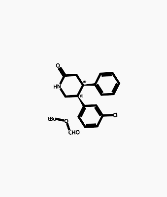 CC(C)(C)OC=O.O=C1C[C@@H](c2ccccc2)[C@@H](c2cccc(Cl)c2)CN1